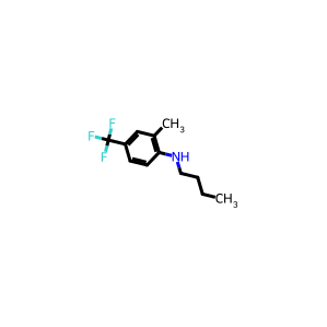 CCCCNc1ccc(C(F)(F)F)cc1C